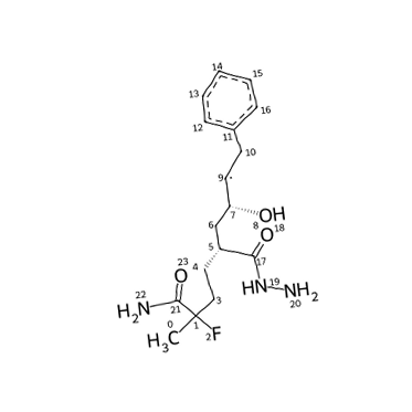 CC(F)(CC[C@H](C[C@@H](O)[CH]Cc1ccccc1)C(=O)NN)C(N)=O